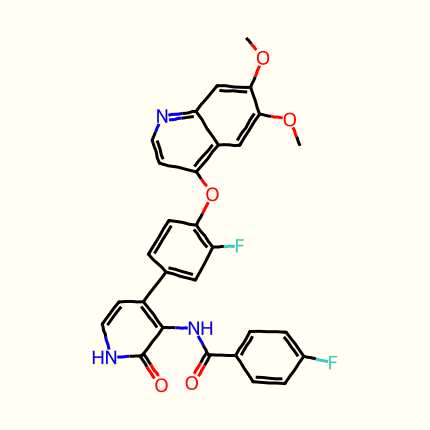 COc1cc2nccc(Oc3ccc(-c4cc[nH]c(=O)c4NC(=O)c4ccc(F)cc4)cc3F)c2cc1OC